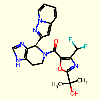 CC(C)(O)c1nc(C(F)F)c(C(=O)N2CCc3[nH]cnc3[C@H]2c2cc3ccccn3n2)o1